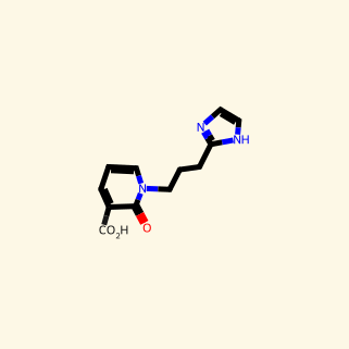 O=C(O)c1cccn(CCCc2ncc[nH]2)c1=O